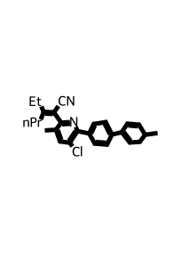 CCC/C(CC)=C(/C#N)c1nc(-c2ccc(C3=CCC(C)C=C3)cc2)c(Cl)cc1C